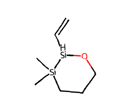 C=C[SiH]1OCCC[Si]1(C)C